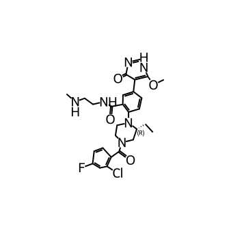 CC[C@@H]1CN(C(=O)c2ccc(F)cc2Cl)CCN1c1ccc(-c2c(OC)[nH]cnc2=O)cc1C(=O)NCCNC